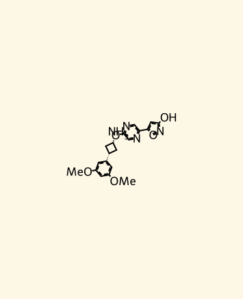 COc1cc(OC)cc([C@H]2C[C@@H](Oc3cnc(-c4cc(O)no4)cn3)C2)c1.N